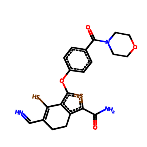 N=CC1=C(S)c2c(Oc3ccc(C(=O)N4CCOCC4)cc3)sc(C(N)=O)c2CC1